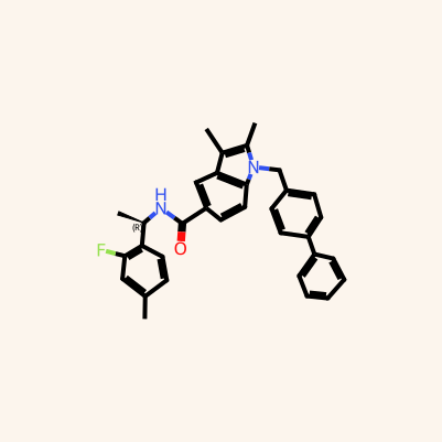 Cc1ccc([C@@H](C)NC(=O)c2ccc3c(c2)c(C)c(C)n3Cc2ccc(-c3ccccc3)cc2)c(F)c1